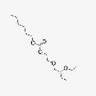 CCCCCCOC(=O)OCCOCC(CC)OCC